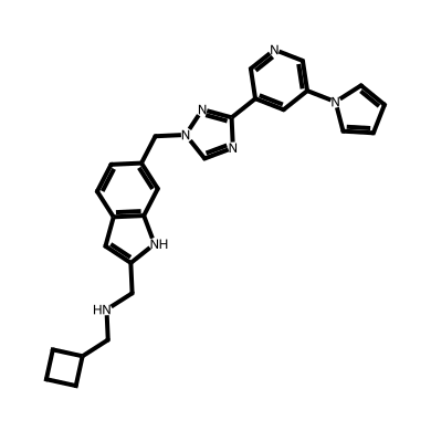 c1ccn(-c2cncc(-c3ncn(Cc4ccc5cc(CNCC6CCC6)[nH]c5c4)n3)c2)c1